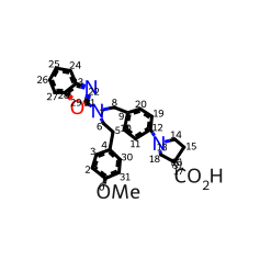 COc1ccc(CCN(Cc2ccc(N3CC[C@H](C(=O)O)C3)cc2)c2nc3ccccc3o2)cc1